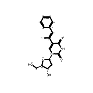 O=c1[nH]c(=O)n([C@H]2C[C@H](O)[C@@H](CO)O2)cc1C(F)=Cc1ccccc1